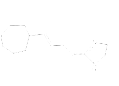 C(=C\C1CCCCCC1)/CSC1=NCCN1